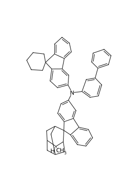 C[C@H]1C2CC3CC(C2)C2(c4ccccc4-c4cc(N(c5cccc(-c6ccccc6)c5)c5ccc6c(c5)-c5ccccc5C65CCCCC5)ccc42)C1C3